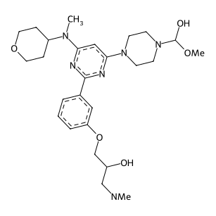 CNCC(O)COc1cccc(-c2nc(N3CCN(C(O)OC)CC3)cc(N(C)C3CCOCC3)n2)c1